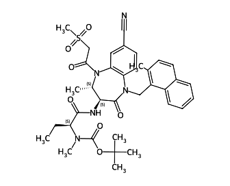 CC[C@@H](C(=O)N[C@@H]1C(=O)N(Cc2c(C)ccc3ccccc23)c2ccc(C#N)cc2N(C(=O)CS(C)(=O)=O)[C@H]1C)N(C)C(=O)OC(C)(C)C